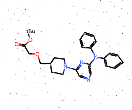 CC(C)(C)OC(=O)COCC1CCN(c2cncc(N(c3ccccc3)c3ccccc3)n2)CC1